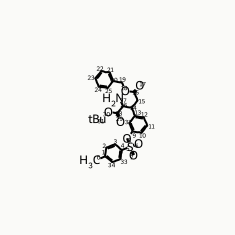 Cc1ccc(S(=O)(=O)Oc2cccc(C(CC(=O)OCc3ccccc3)C(N)C(=O)OC(C)(C)C)c2)cc1